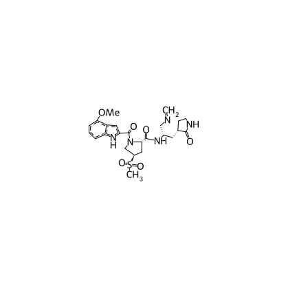 C=NC[C@H](C[C@@H]1CCNC1=O)NC(=O)[C@@H]1C[C@@H](S(C)(=O)=O)CN1C(=O)c1cc2c(OC)cccc2[nH]1